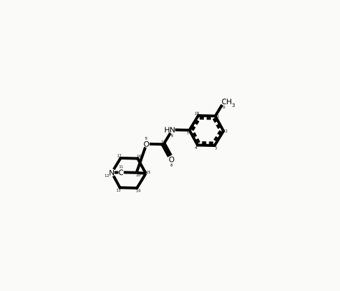 Cc1cccc(NC(=O)OC2CN3CCC2CC3)c1